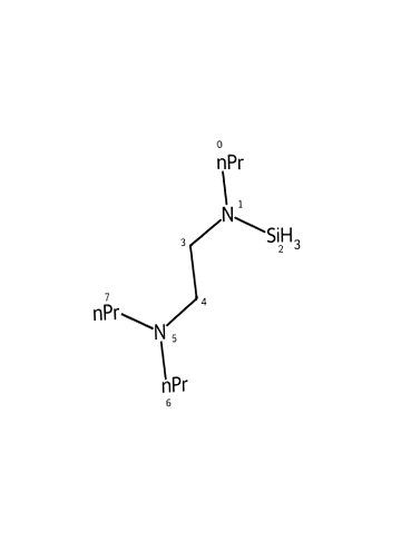 CCCN([SiH3])CCN(CCC)CCC